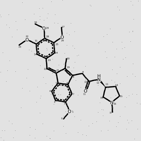 COc1ccc2c(c1)C(CC(=O)N[C@H]1CCN(C)C1)=C(C)C2=Cc1cc(OC)c(OC)c(OC)c1